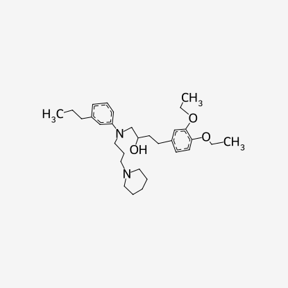 CCCc1cccc(N(CCCN2CCCCC2)CC(O)CCc2ccc(OCC)c(OCC)c2)c1